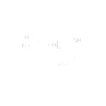 C=O.CCCCCCCCc1ccccc1O.NC(N)=O.S